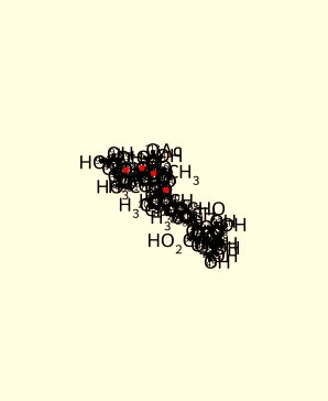 CC(=O)OC1C(C)OC(OC2C(C)OC(OC(=O)[C@]34CCC(C)(C)CC3C3=CCC5[C@@]6(C)CC[C@H](OC7OC(C(=O)O)C(O)C(OC8OCC(O)C(O)C8O)C7OC7OC(O)(CO)CC(O)C7O)[C@@](C)(C=O)C6CC[C@@]5(C)C3(C)CC4O)C(OC3OC(C)C(OC4OCC(O)C(OC5OC(CO)C(O)C(O)C5O)C4O)C(O)C3O)C2O)C(O)C1OC(C)=O